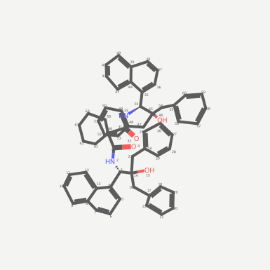 O=C(N[C@@H](c1cccc2ccccc12)C(O)(Cc1ccccc1)Cc1ccccc1)C1(C(=O)N[C@@H](c2cccc3ccccc23)C(O)(Cc2ccccc2)Cc2ccccc2)CCCCC1